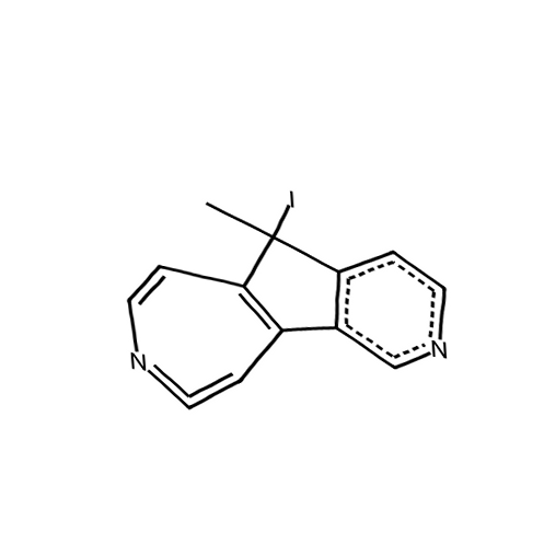 CC1(I)C2=C(C=C=NC=C2)c2cnccc21